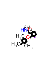 CCc1cc(C)c(OCc2c(I)cccc2CC(=O)NC)cc1C